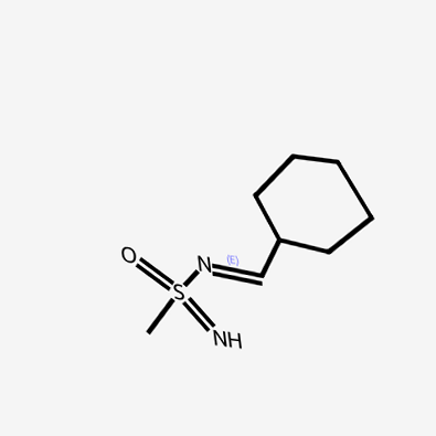 CS(=N)(=O)/N=C/C1CCCCC1